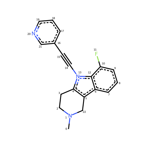 CN1CCc2c(c3cccc(F)c3n2C#Cc2cccnc2)C1